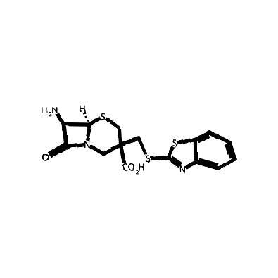 NC1C(=O)N2CC(CSc3nc4ccccc4s3)(C(=O)O)CS[C@H]12